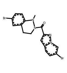 CN1c2ccc(Br)cc2CCN1C(=O)c1cc2ccc(Br)cn2n1